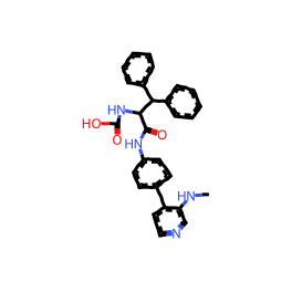 CNc1cnccc1-c1ccc(NC(=O)C(NC(=O)O)C(c2ccccc2)c2ccccc2)cc1